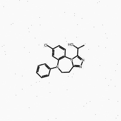 CC(O)c1nnc2n1-c1ccc(Cl)cc1N(c1ccccc1)CC2